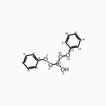 OB(OOc1ccccc1)OOc1ccccc1